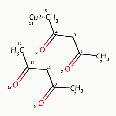 CC(=O)CC(C)=O.CC(=O)CC(C)=O.[Cu+2]